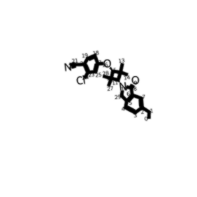 CCc1ccc2c(c1)C(=O)N([C@H]1C(C)(C)[C@H](Oc3ccc(C#N)c(Cl)c3)C1(C)C)C2